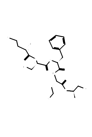 CC(C)C[C@@H](NC(=O)[C@@H](N)CCN)C(=O)N[C@@H](Cc1ccccc1)C(=O)N[C@@H](CCN)C(=O)N[C@@H](CO)C(=O)O